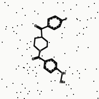 CCCCNc1ccc(C(=O)N2CCC(C(=O)c3ccc(F)cc3)CC2)cc1